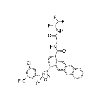 O=C(CNC(=O)c1ccc(C2=NO[C@@](c3cc(Cl)cc(C(F)(F)F)c3)(C(F)(F)F)C2)c2cc3cc4ccccc4cc3cc12)NC(F)C(F)F